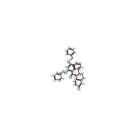 O=C(c1ccc(OCc2ccccc2)cc1OCc1ccccc1)N1c2ccc(I)cc2CCC1c1cccnc1